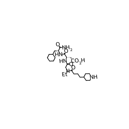 CCN(CC(=O)N[C@@H](CC(=O)O)C(=O)N[C@@H](CC1CCCCC1)C(N)=O)C(=O)CCCC1CCNCC1